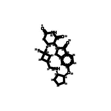 O=C1CCC(N2Cc3cc(O[C@H]4CCC[C@@H]4NCC4CC(F)(F)C4)ccc3C2=O)C(=O)N1